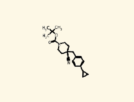 CC(C)(C)OC(=O)N1CCC(C#N)(Cc2ccc(C3CC3)cc2)CC1